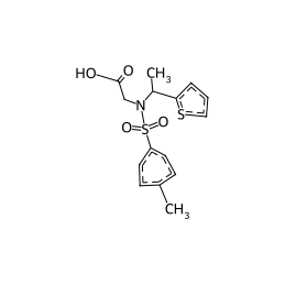 Cc1ccc(S(=O)(=O)N(CC(=O)O)C(C)c2cccs2)cc1